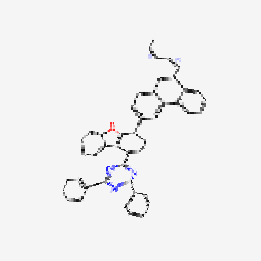 C/C=C\C=C/c1cc2ccc(C3CC=C(c4nc(C5=CCCC=C5)nc(-c5ccccc5)n4)c4c3oc3ccccc43)cc2c2ccccc12